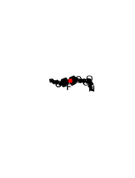 C=C(CN(C)C)C(=O)OCCOc1ccc(-c2ccc(OCCCC)cc2F)cc1